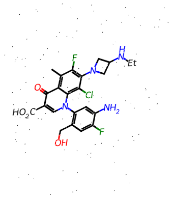 CCNC1CN(c2c(F)c(C)c3c(=O)c(C(=O)O)cn(-c4cc(N)c(F)cc4CO)c3c2Cl)C1